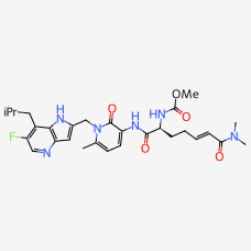 COC(=O)N[C@@H](CC/C=C/C(=O)N(C)C)C(=O)Nc1ccc(C)n(Cc2cc3ncc(F)c(CC(C)C)c3[nH]2)c1=O